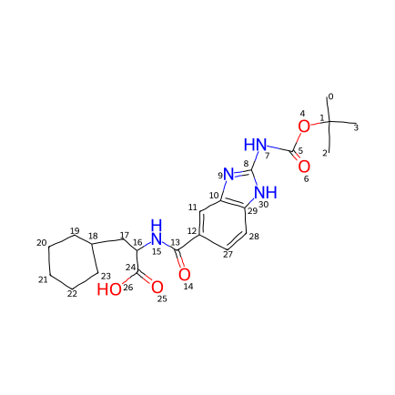 CC(C)(C)OC(=O)Nc1nc2cc(C(=O)NC(CC3CCCCC3)C(=O)O)ccc2[nH]1